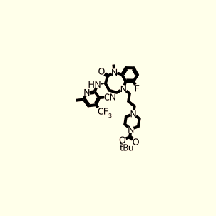 Cc1cc(C(F)(F)F)c(C#N)c(N[C@H]2CCN(CCCN3CCN(C(=O)OC(C)(C)C)CC3)c3c(F)cccc3N(C)C2=O)n1